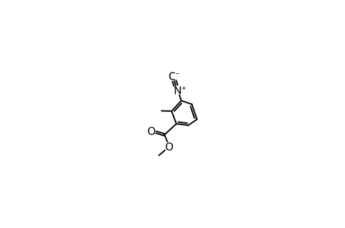 [C-]#[N+]c1cccc(C(=O)OC)c1C